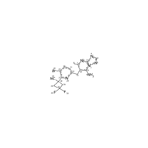 Cc1nc2ncnn2c(N)c1Cc1ccc(Br)c(C2(C#N)CC(F)(F)C2)n1